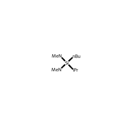 CCCC[Si](NC)(NC)C(C)C